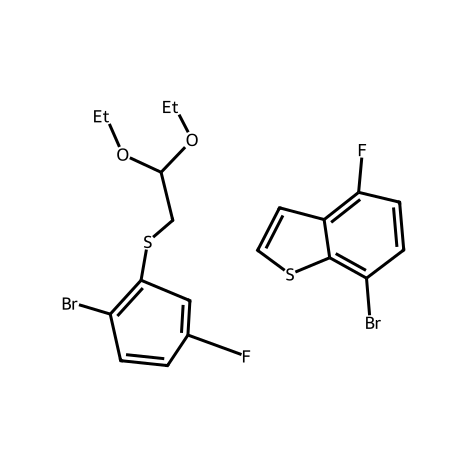 CCOC(CSc1cc(F)ccc1Br)OCC.Fc1ccc(Br)c2sccc12